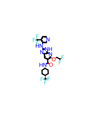 O=C(N[C@H]1CC[C@H](C(F)(F)F)CC1)c1cc2nc(Nc3cnccc3C(F)(F)F)[nH]c2nc1OCC(F)F